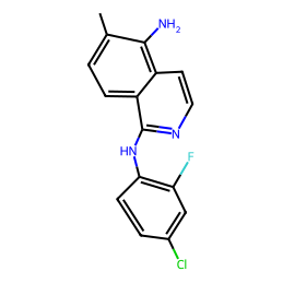 Cc1ccc2c(Nc3ccc(Cl)cc3F)nccc2c1N